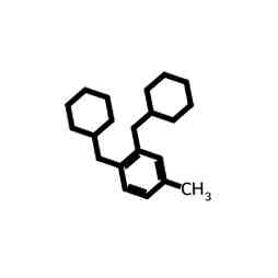 Cc1ccc(CC2CCCCC2)c(CC2CCCCC2)c1